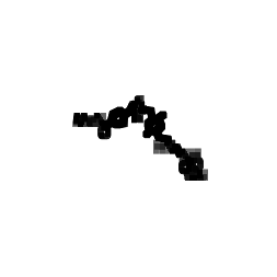 CNC(=O)c1ccc(-c2csc(Cc3cc(C)c(CCNCCNC(=O)OC(C)(C)C)cc3C)n2)cc1